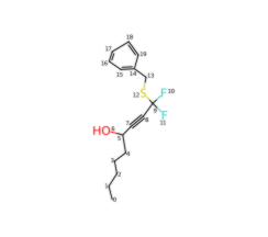 CCCCCC(O)C#CC(F)(F)SCc1ccccc1